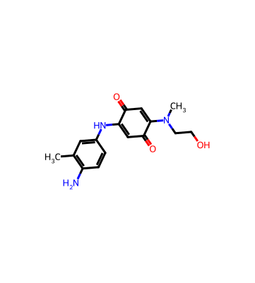 Cc1cc(NC2=CC(=O)C(N(C)CCO)=CC2=O)ccc1N